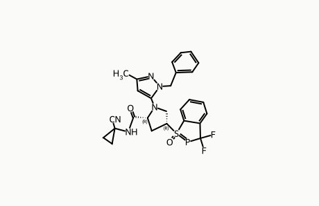 Cc1cc(N2C[C@H](S3(=O)=PC(F)(F)c4ccccc43)C[C@@H]2C(=O)NC2(C#N)CC2)n(Cc2ccccc2)n1